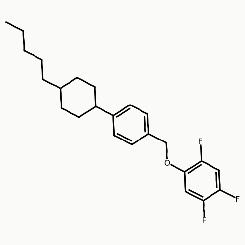 CCCCCC1CCC(c2ccc(COc3cc(F)c(F)cc3F)cc2)CC1